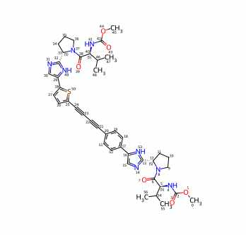 COC(=O)N[C@H](C(=O)N1CCC[C@H]1c1ncc(-c2ccc(C#CC#Cc3ccc(-c4cnc([C@@H]5CCCN5C(=O)[C@@H](NC(=O)OC)C(C)C)[nH]4)s3)cc2)[nH]1)C(C)C